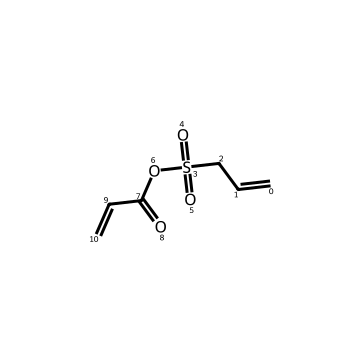 C=CCS(=O)(=O)OC(=O)C=C